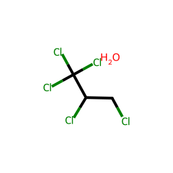 ClCC(Cl)C(Cl)(Cl)Cl.O